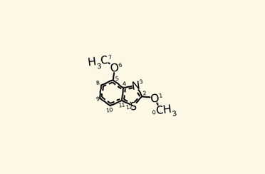 COc1nc2c(OC)cccc2s1